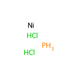 Cl.Cl.P.[Ni]